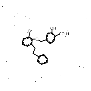 O=C(O)c1ccc(COc2c(Br)cccc2CCc2ccccc2)cc1O